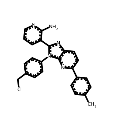 Cc1ccc(-c2ccc3nc(-c4cccnc4N)n(-c4ccc(CCl)cc4)c3n2)cc1